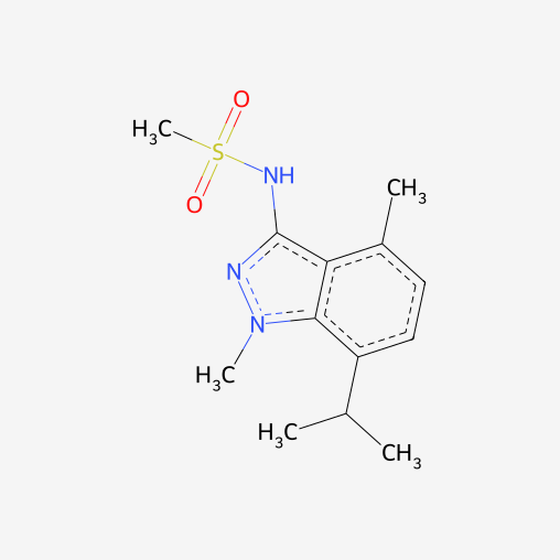 Cc1ccc(C(C)C)c2c1c(NS(C)(=O)=O)nn2C